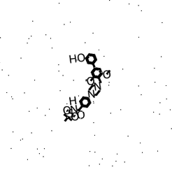 COc1cc(-c2cccc(O)c2)cc(OC)c1CN1CCN(c2ccc(C(=O)NS(=O)(=O)C(C)(C)C)cc2)CC1